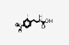 O=C(O)NCCc1ccc([N+](=O)[O-])cc1I